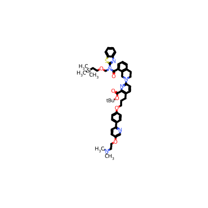 CN(C)CCOc1ccc(-c2ccc(OCCCc3ccc(N4CCc5cccc(C(=O)N(COCC[Si](C)(C)C)c6nc7ccccc7s6)c5C4)nc3C(=O)OC(C)(C)C)cc2)nc1